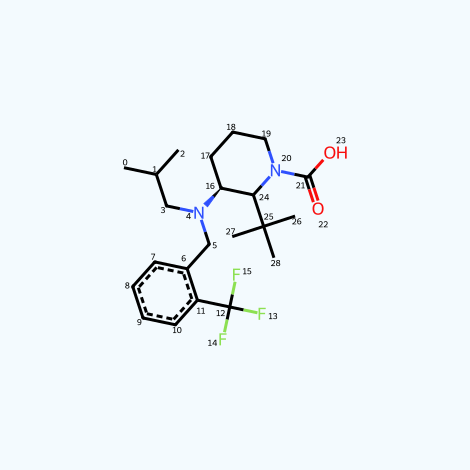 CC(C)CN(Cc1ccccc1C(F)(F)F)[C@H]1CCCN(C(=O)O)C1C(C)(C)C